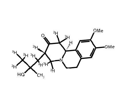 [2H]C1([2H])C(=O)[C@@]([2H])(C([2H])([2H])C(C)(O)C([2H])([2H])[2H])C([2H])([2H])N2CCc3cc(OC)c(OC)cc3[C@@H]21